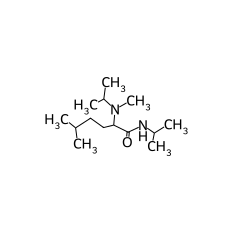 CC(C)CCC(C(=O)NC(C)C)N(C)C(C)C